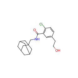 O=C(NCC12CC3CC(CC(C3)C1)C2)c1cc(CCO)ccc1Cl